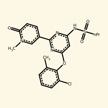 CCCS(=O)(=O)Nc1cc(Oc2c(C)cccc2Cl)nc(-c2ccc(=O)n(C)c2)n1